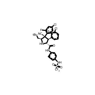 CC(C)(C)C[C@@H]1N[C@@H](C(=O)Nc2ccc(NS(=O)(=O)C(F)(F)F)cc2)[C@H](c2cccc(Cl)c2F)[C@@]1(C#N)c1ccc(Cl)cc1F